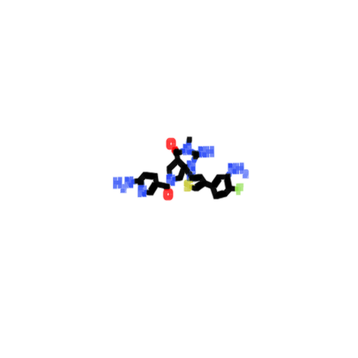 CN1C(=N)NC2(c3cc(-c4ccc(F)c(N)c4)cs3)CN(C(=O)c3ccc(N)nc3)CC2C1=O